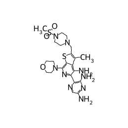 Cc1c(CN2CCN(S(C)(=O)=O)CC2)sc2c(N3CCOCC3)nc(-c3ncc(N)nc3N)c(N)c12